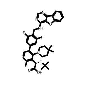 Cc1ncc(-c2cc(F)c(CNc3ncnc4c3oc3ccccc34)c(F)c2)c(N2CCC(C)(C)CC2)c1[C@H](OC(C)(C)C)C(=O)O